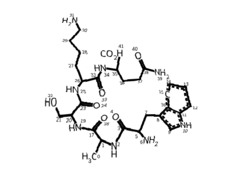 CC(NC(=O)C(N)Cc1c[nH]c2ccccc12)C(=O)NC(CO)C(=O)NC(CCCCN)C(=O)NC(CCC(N)=O)C(=O)O